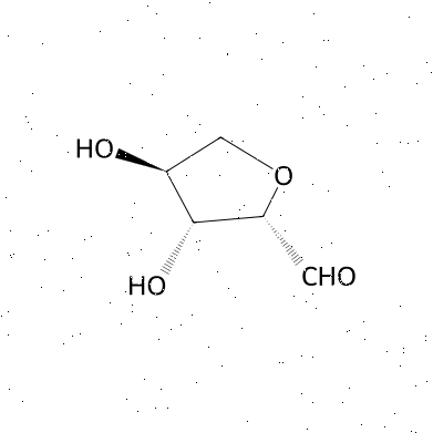 O=C[C@H]1OC[C@H](O)[C@H]1O